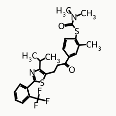 Cc1cc(C(=O)CCc2sc(-c3ccccc3C(F)(F)F)nc2C(C)C)ccc1SC(=O)N(C)C